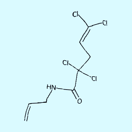 C=CCNC(=O)C(Cl)(Cl)CC=C(Cl)Cl